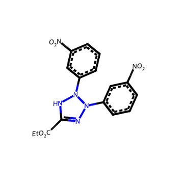 CCOC(=O)C1=NN(c2cccc([N+](=O)[O-])c2)N(c2cccc([N+](=O)[O-])c2)N1